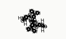 O=C1C(c2ccc(N(c3ccccc3)c3ccccc3)cc2NC(=O)c2ccc3[nH]c(=O)[nH]c3c2)=C([O-])/C1=C1/C=CC(=[N+](c2ccccc2)c2ccccc2)C=C1NC(=O)c1ccc2[nH]c(=O)[nH]c2c1